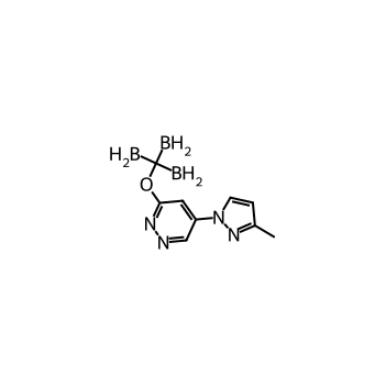 BC(B)(B)Oc1cc(-n2ccc(C)n2)cnn1